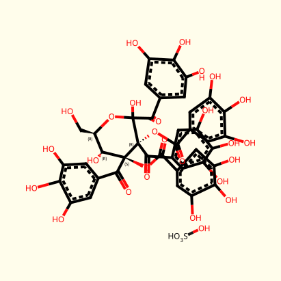 O=C(O[C@@]1(C(=O)c2cc(O)c(O)c(O)c2)[C@H](O)[C@@H](CO)OC(O)(C(=O)c2cc(O)c(O)c(O)c2)[C@@]1(OC(=O)c1cc(O)c(O)c(O)c1)C(=O)c1cc(O)c(O)c(O)c1)c1cc(O)c(O)c(O)c1.O=S(=O)(O)O